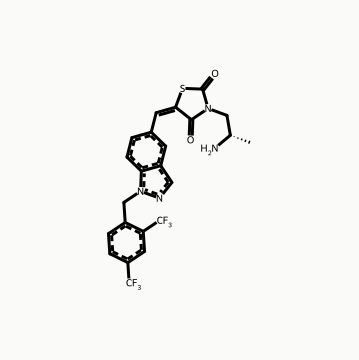 C[C@H](N)CN1C(=O)SC(=Cc2ccc3c(cnn3Cc3ccc(C(F)(F)F)cc3C(F)(F)F)c2)C1=O